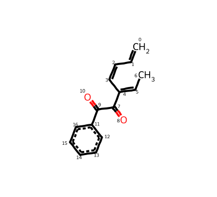 C=C/C=C\C(=C/C)C(=O)C(=O)c1ccccc1